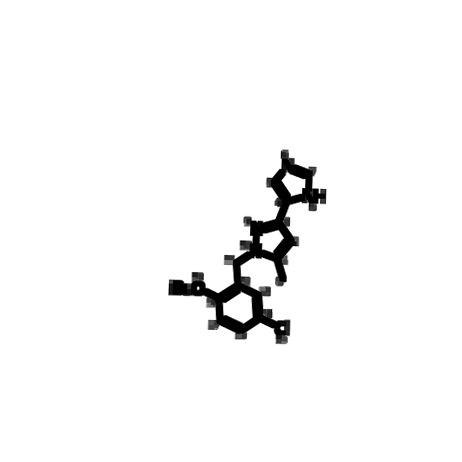 Cc1cc(-c2cnc[nH]2)nn1Cc1cc(Cl)ccc1OCC(C)C